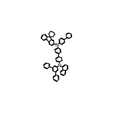 C1=C(c2ccc(N(c3ccc(-c4ccccc4)cc3)c3ccc4c(c3)C3(CCCCC3)c3ccccc3-4)cc2)CCC(N(c2cc(-c3ccccc3)cc(-c3ccccc3)c2)c2cccc3ccccc23)=C1